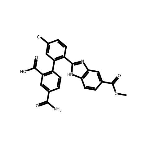 COC(=O)c1ccc2[nH]c(-c3ccc(Cl)cc3-c3ccc(C(N)=O)cc3C(=O)O)nc2c1